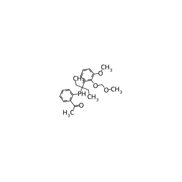 CCC(CC)(Pc1ccccc1C(C)=O)c1cccc(OC)c1OCOC